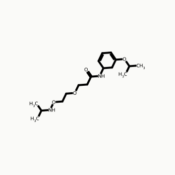 CC(C)NOCCOCCC(=O)NC1C=CC=C(OC(C)C)C1